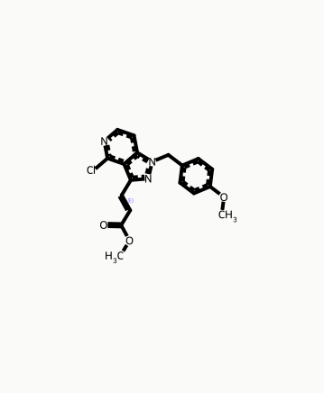 COC(=O)/C=C/c1nn(Cc2ccc(OC)cc2)c2ccnc(Cl)c12